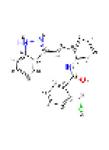 O=C(Nc1ccccc1/C=C/c1n[nH]c2ccccc12)c1ccccc1CCl